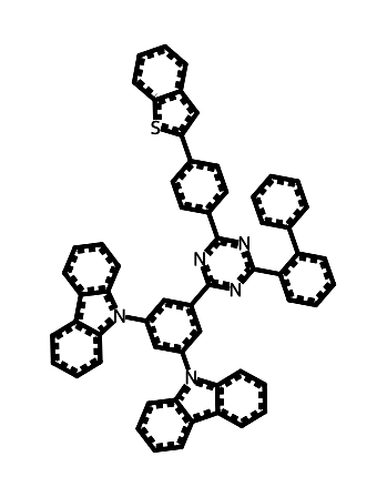 c1ccc(-c2ccccc2-c2nc(-c3ccc(-c4cc5ccccc5s4)cc3)nc(-c3cc(-n4c5ccccc5c5ccccc54)cc(-n4c5ccccc5c5ccccc54)c3)n2)cc1